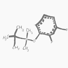 CC(C)(C)[Si](C)(C)Oc1[c]ccc(F)c1F